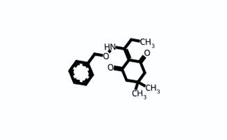 CCC(NOCc1ccccc1)=C1C(=O)CC(C)(C)CC1=O